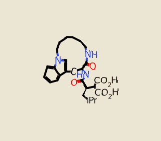 CC(C)C[C@@H](C(=O)NC1Cc2cn(c3ccccc23)CCCCCCNC1=O)C(C(=O)O)C(=O)O